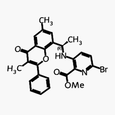 COC(=O)c1nc(Br)ccc1N[C@H](C)c1cc(C)cc2c(=O)c(C)c(-c3ccccc3)oc12